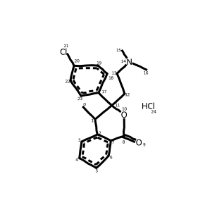 CC1c2ccccc2C(=O)OC1(CCN(C)C)c1ccc(Cl)cc1.Cl